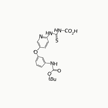 CC(C)(C)OC(=O)Nc1cccc(Oc2ccc(NC(=S)NC(=O)O)nc2)c1